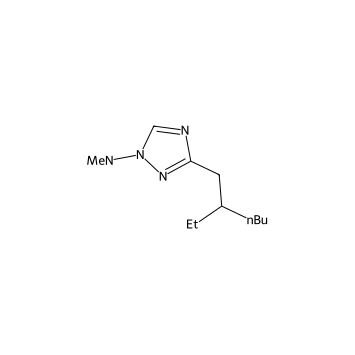 CCCCC(CC)Cc1ncn(NC)n1